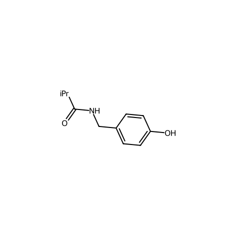 CC(C)C(=O)NCc1ccc(O)cc1